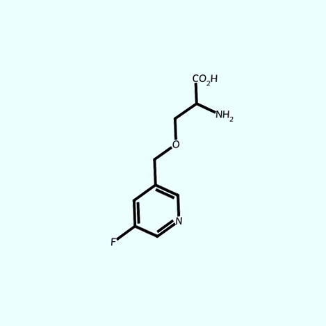 NC(COCc1cncc(F)c1)C(=O)O